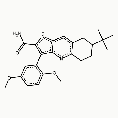 COc1ccc(OC)c(-c2c(C(N)=O)[nH]c3cc4c(nc23)CCC(C(C)(C)C)C4)c1